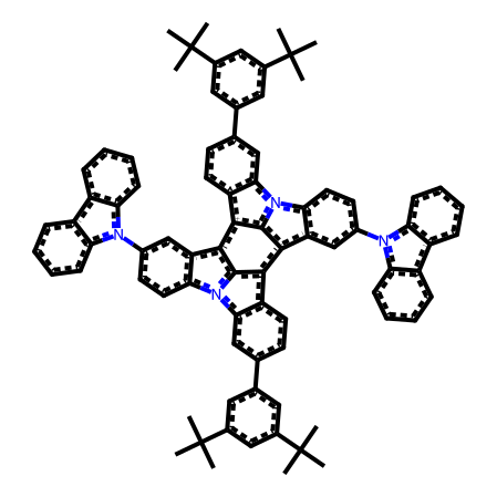 CC(C)(C)c1cc(-c2ccc3c4c5c6cc(-n7c8ccccc8c8ccccc87)ccc6n6c7cc(-c8cc(C(C)(C)C)cc(C(C)(C)C)c8)ccc7c(c7c8cc(-n9c%10ccccc%10c%10ccccc%109)ccc8n(c3c2)c74)c56)cc(C(C)(C)C)c1